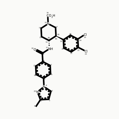 Cc1ccn(-c2ccc(C(=O)N[C@@H]3CCN(C(=O)O)C[C@H]3c3ccc(Cl)c(Cl)c3)cc2)n1